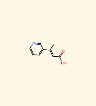 C/C(=C\C(=O)O)c1cccnc1